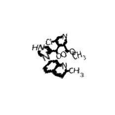 COC(=O)c1cncc(Cl)c1C(Oc1cccc2ccc(C)nc12)c1c[nH]cn1